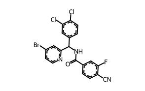 N#Cc1ccc(C(=O)NC(c2ccc(Cl)c(Cl)c2)c2cc(Br)ccn2)cc1F